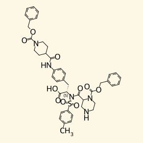 Cc1ccc(S(=O)(=O)N(C(=O)C2CNCCN2C(=O)OCc2ccccc2)[C@@H](Cc2ccc(NC(=O)C3CCN(C(=O)OCc4ccccc4)CC3)cc2)C(=O)O)cc1